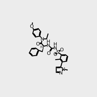 CCN(C(=O)[C@H](Cc1ccccc1)NC(=O)NS(=O)(=O)c1cccc(-c2ccnn2C)c1C)c1ccc(OC)cc1